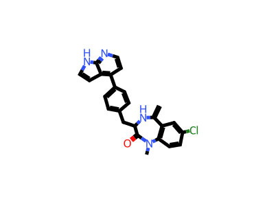 C=C1NC(Cc2ccc(-c3ccnc4[nH]ccc34)cc2)C(=O)N(C)c2ccc(Cl)cc21